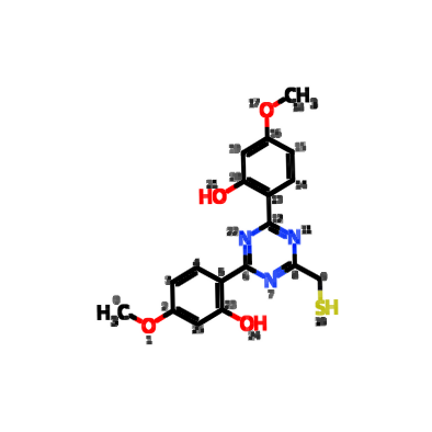 COc1ccc(-c2nc(CS)nc(-c3ccc(OC)cc3O)n2)c(O)c1